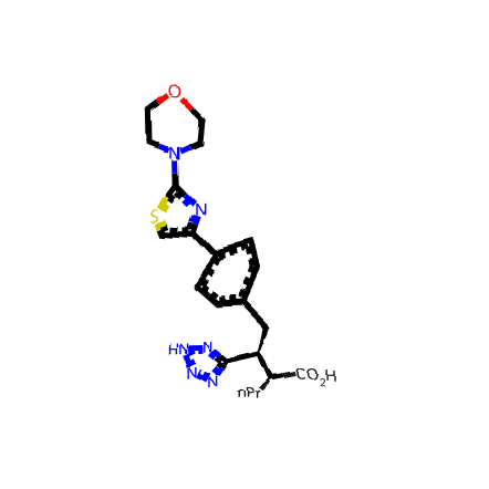 CCC[C@H](C(=O)O)[C@H](Cc1ccc(-c2csc(N3CCOCC3)n2)cc1)c1nn[nH]n1